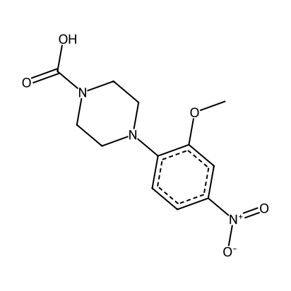 COc1cc([N+](=O)[O-])ccc1N1CCN(C(=O)O)CC1